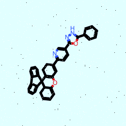 C1=CCC2C(=C1)OC1=C(CCC(c3ccc(C4=NNC(c5ccccc5)O4)cn3)=C1)C21c2ccccc2-c2ccccc21